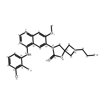 COc1cc2ncnc(Nc3cccc(Cl)c3F)c2cc1N1CC2(CN(CCF)C2)OC1=O